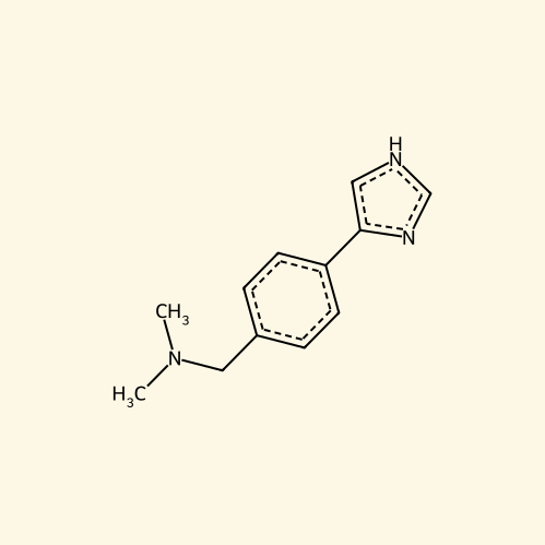 CN(C)Cc1ccc(-c2c[nH]cn2)cc1